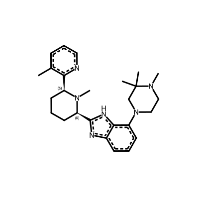 Cc1cccnc1[C@@H]1CCC[C@H](c2nc3cccc(N4CCN(C)C(C)(C)C4)c3[nH]2)N1C